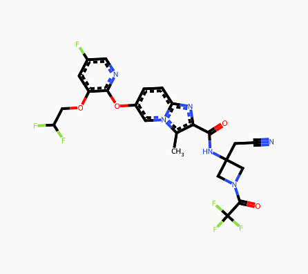 Cc1c(C(=O)NC2(CC#N)CN(C(=O)C(F)(F)F)C2)nc2ccc(Oc3ncc(F)cc3OCC(F)F)cn12